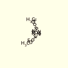 CC(F)Oc1ccc(-c2ccc(-c3c4c(c(-c5ccc(-c6ccc(OC(C)F)cc6)s5)c5nsnc35)N=S=N4)s2)cc1